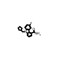 NC(=O)c1cccc2c1c1[c]c(F)ccc1n2CC1CCCC1